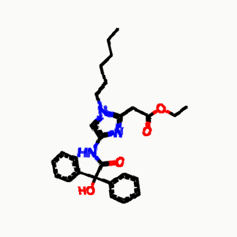 CCCCCCn1cc(NC(=O)C(O)(c2ccccc2)c2ccccc2)nc1CC(=O)OCC